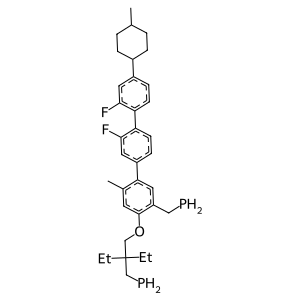 CCC(CC)(CP)COc1cc(C)c(-c2ccc(-c3ccc(C4CCC(C)CC4)cc3F)c(F)c2)cc1CP